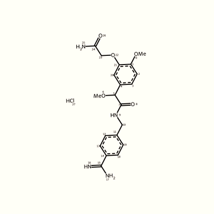 COc1ccc(C(OC)C(=O)NCc2ccc(C(=N)N)cc2)cc1OCC(N)=O.Cl